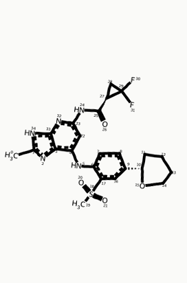 Cc1nc2c(Nc3ccc([C@@H]4CCCCO4)cc3S(C)(=O)=O)cc(NC(=O)[C@H]3CC3(F)F)nc2[nH]1